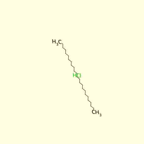 CCCCCCCCCCCCCCCCCCCCCCCCC.Cl